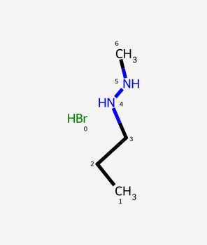 Br.CCCNNC